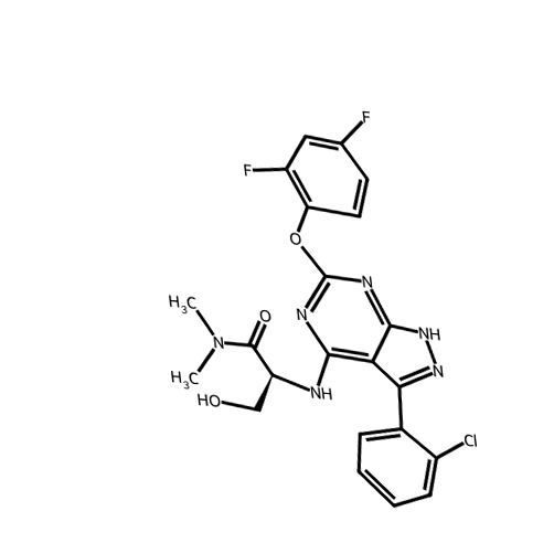 CN(C)C(=O)[C@H](CO)Nc1nc(Oc2ccc(F)cc2F)nc2[nH]nc(-c3ccccc3Cl)c12